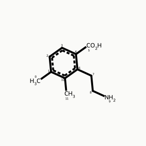 Cc1ccc(C(=O)O)c(CCN)c1C